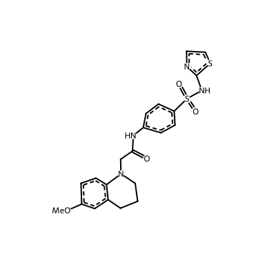 COc1ccc2c(c1)CCCN2CC(=O)Nc1ccc(S(=O)(=O)Nc2nccs2)cc1